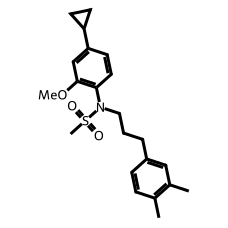 COc1cc(C2CC2)ccc1N(CCCc1ccc(C)c(C)c1)S(C)(=O)=O